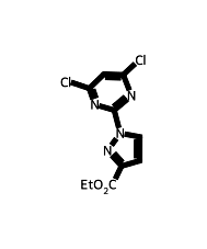 CCOC(=O)c1ccn(-c2nc(Cl)cc(Cl)n2)n1